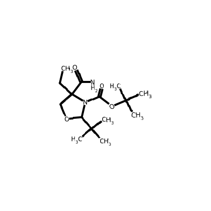 CCC1(C(N)=O)COC(C(C)(C)C)N1C(=O)OC(C)(C)C